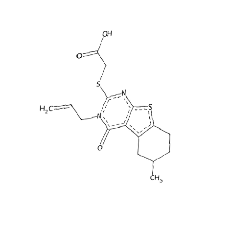 C=CCn1c(SCC(=O)O)nc2sc3c(c2c1=O)CC(C)CC3